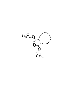 CCOC(=O)C1CCCCCCCCC1C(=O)OCC